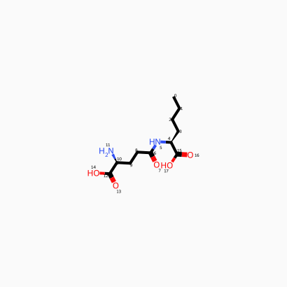 CCCC[C@H](NC(=O)CC[C@H](N)C(=O)O)C(=O)O